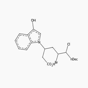 CCCCCCCCCCC(Cl)C(Br)CC(CC(=O)O)n1cc(O)c2ccccc21